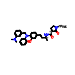 CCCCCN1CC[C@@H](C(=O)N[C@@H](C)CCc2ccc(N(Cc3cccc(N(C)C)c3)c3ccccc3)c(O)c2)C1=O